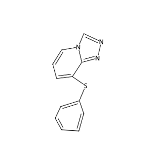 c1ccc(Sc2cccn3cnnc23)cc1